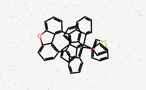 c1ccc(-c2c3ccccc3c(-c3cccc4oc5cccc(-c6c7ccccc7c(-c7ccsc7)c7ccccc67)c5c34)c3ccccc23)cc1